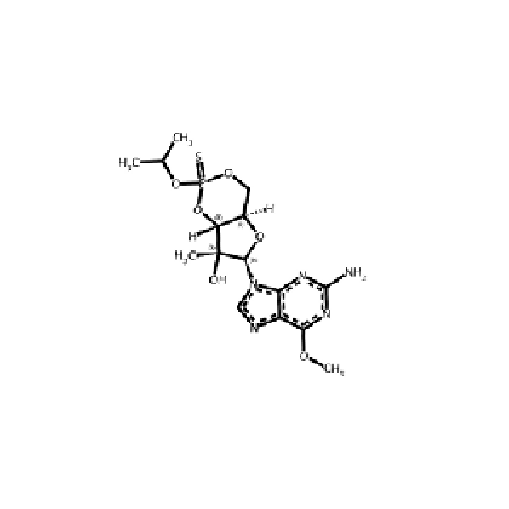 COc1nc(N)nc2c1ncn2[C@@H]1O[C@@H]2COP(=S)(OC(C)C)O[C@H]2[C@@]1(C)O